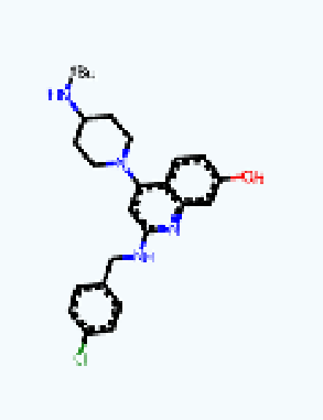 CC(C)(C)NC1CCN(c2cc(NCc3ccc(Cl)cc3)nc3cc(O)ccc23)CC1